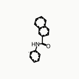 O=C(Nc1[c]cccc1)c1ccc2ccccc2c1